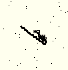 CCCCCCCCCCCCC(Cc1ccccc1)C(N)(CCC)CCC.Cl